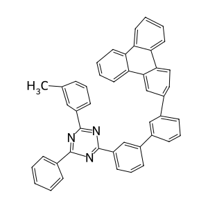 Cc1cccc(-c2nc(-c3ccccc3)nc(-c3cccc(-c4cccc(-c5ccc6c7ccccc7c7ccccc7c6c5)c4)c3)n2)c1